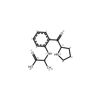 CC(Nc1ccccc1C(=O)C1CCCN1)C(=O)O